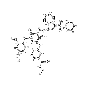 CCOC(=O)c1cccc(Cc2cn(Cc3ccc(OC)cc3OC)c(=O)c3cc(-c4cn(S(=O)(=O)c5ccccc5)c5nccnc45)cn23)c1